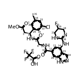 COC(=O)C[C@H](NC(=O)CNC(=O)c1cc(NC2=NCC(F)CN2)c2cn[nH]c2c1)c1cc(Cl)cc(I)c1.O=C(O)C(F)(F)F